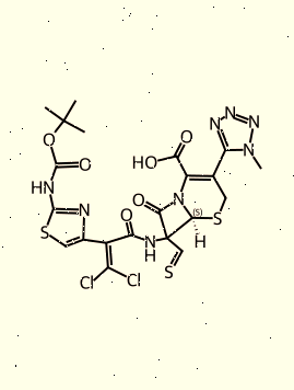 Cn1nnnc1C1=C(C(=O)O)N2C(=O)C(C=S)(NC(=O)C(=C(Cl)Cl)c3csc(NC(=O)OC(C)(C)C)n3)[C@@H]2SC1